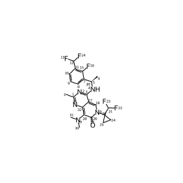 Cc1nc(N[C@H](C)c2cccc(C(F)F)c2F)c2cn(C3(C(F)F)CC3)c(=O)c(N(C)C)c2n1